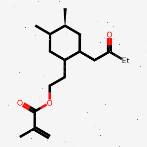 C=C(C)C(=O)OCCC1CC(C)[C@@H](C)CC1CC(=O)CC